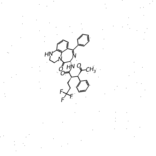 CC(=O)[C@@H](c1ccccc1)[C@@H](CCC(F)(F)F)C(=O)N[C@H]1N=C(c2ccccc2)c2cccc3c2N(CCN3)C1=O